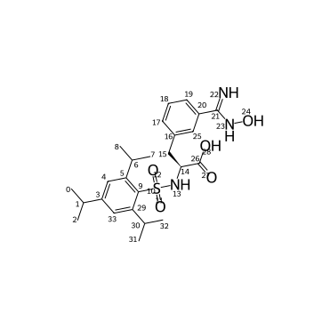 CC(C)c1cc(C(C)C)c(S(=O)(=O)N[C@@H](Cc2cccc(C(=N)NO)c2)C(=O)O)c(C(C)C)c1